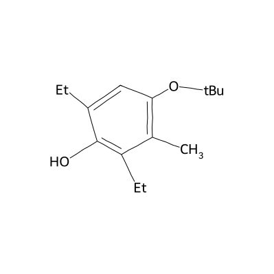 CCc1cc(OC(C)(C)C)c(C)c(CC)c1O